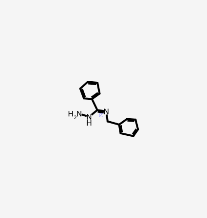 NN/C(=N\Cc1ccccc1)c1ccccc1